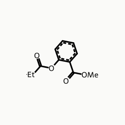 C[CH]C(=O)Oc1ccccc1C(=O)OC